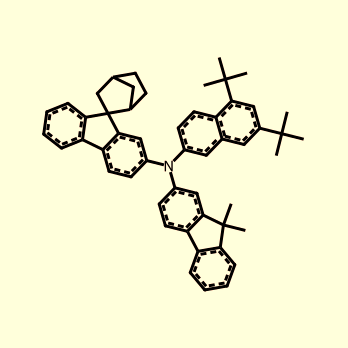 CC(C)(C)c1cc(C(C)(C)C)c2ccc(N(c3ccc4c(c3)C(C)(C)c3ccccc3-4)c3ccc4c(c3)C3(CC5CCC3C5)c3ccccc3-4)cc2c1